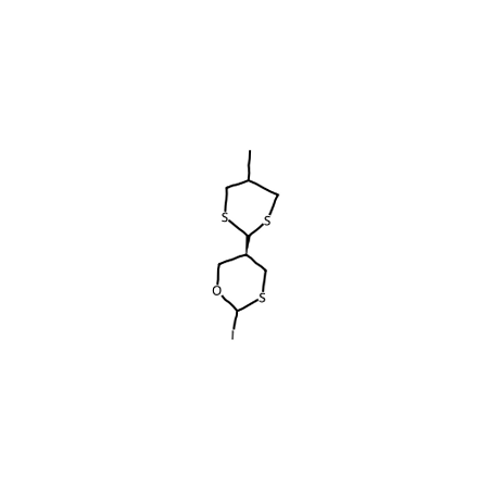 CC1CSC([C@@H]2COC(I)SC2)SC1